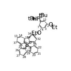 CCOc1cc(OCC)cc([PH+](C(C)(C)C)C(C)(C)C)c1.c1ccc([B-](c2ccccc2)(c2ccccc2)c2ccccc2)cc1